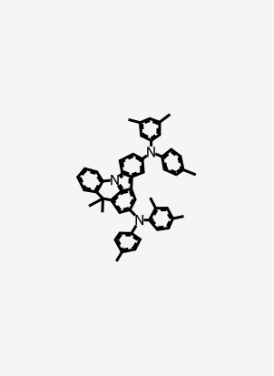 Cc1ccc(N(c2cc(C)cc(C)c2)c2ccc3c(c2)c2cc(N(c4ccc(C)cc4)c4ccc(C)cc4C)cc4c2n3-c2ccccc2C4(C)C)cc1